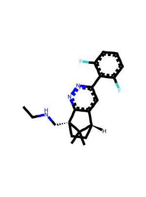 CCNC[C@]12CC[C@@H](c3cc(-c4c(F)cccc4F)nnc31)C2(C)C